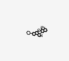 CC(C)c1c2c(cc3ccccc13)-c1nccc3c1c(cc1cc(C4CCCCC4)ccc13)O2